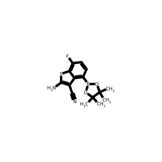 CC1(C)OB(c2ccc(F)c3sc(N)c(C#N)c23)OC1(C)C